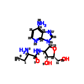 CC(C)CC(N)C(=O)NC1[C@@H](O)[C@@H](CO)O[C@H]1n1cnc2c(N)ccnc21